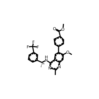 COC(=O)c1ccc(-c2cc3c(N[C@H](C)c4cccc(C(F)(F)F)c4)nc(C)nc3cc2OC)cc1